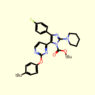 CC(C)(C)OC(=O)n1c(N2CCCCC2)nc(-c2ccc(F)cc2)c1-c1ccnc(Oc2ccc(C(C)(C)C)cc2)n1